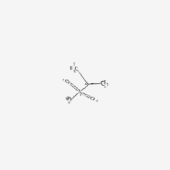 C[C](C)S(=O)(=O)C(C(F)(F)F)C(F)(F)F